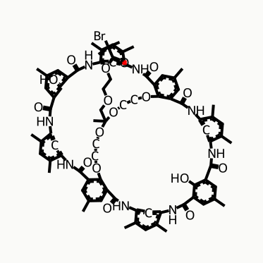 Cc1cc2c(O)c(c1)C(=O)Nc1cc(c(C)cc1C)NC(=O)c1cc(C)cc3c1OCCOC(C)(COCCOC(=O)C(C)(C)Br)OCCOc1c(cc(C)cc1C(=O)Nc1cc(c(C)cc1C)NC(=O)c1cc(C)cc(c1O)C(=O)Nc1cc(c(C)cc1C)NC3=O)C(=O)Nc1cc(c(C)cc1C)NC2=O